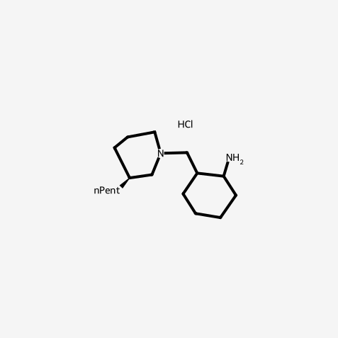 CCCCC[C@H]1CCCN(CC2CCCCC2N)C1.Cl